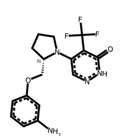 Nc1cccc(OC[C@@H]2CCCN2c2cn[nH]c(=O)c2C(F)(F)F)c1